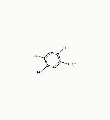 O=C(O)c1cc(O)c(Cl)cc1Cl